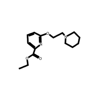 CCOC(=O)c1cccc(OCCN2CCCCC2)n1